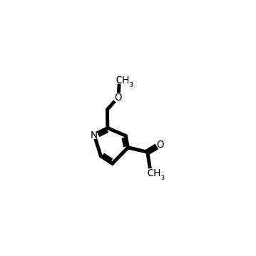 COCc1cc(C(C)=O)ccn1